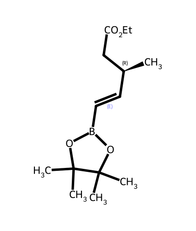 CCOC(=O)C[C@@H](C)/C=C/B1OC(C)(C)C(C)(C)O1